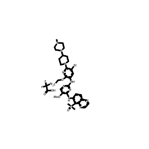 CCc1cc(Nc2ncc(OC)c(Nc3ccc4nccnc4c3P(C)(C)=O)n2)c(OCC(F)(F)F)nc1N1CCC(N2CCN(C)CC2)CC1.O=C(O)C(F)(F)F